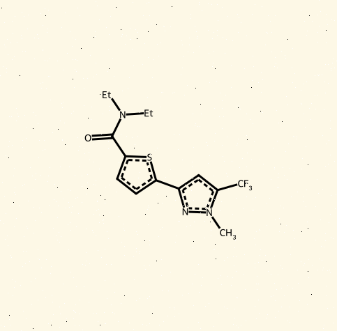 CCN(CC)C(=O)c1ccc(-c2cc(C(F)(F)F)n(C)n2)s1